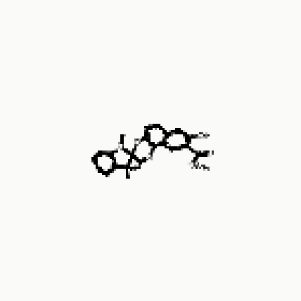 COC(=O)c1cc2c3c(ccc2cc1O)OC1(C=N3)N(C)c2ccccc2C1(C)C